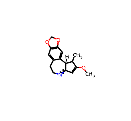 COC1=C[C@]23CCCN2CCc2cc4c(cc2[C@@H]3C1C)OCO4